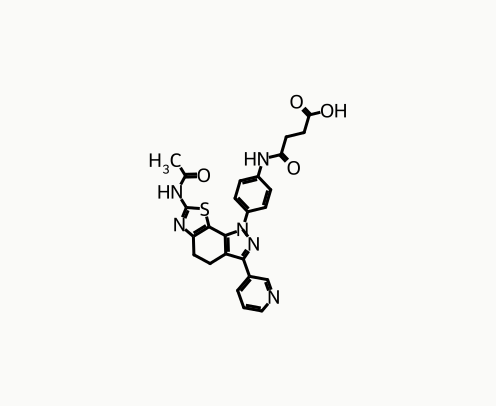 CC(=O)Nc1nc2c(s1)-c1c(c(-c3cccnc3)nn1-c1ccc(NC(=O)CCC(=O)O)cc1)CC2